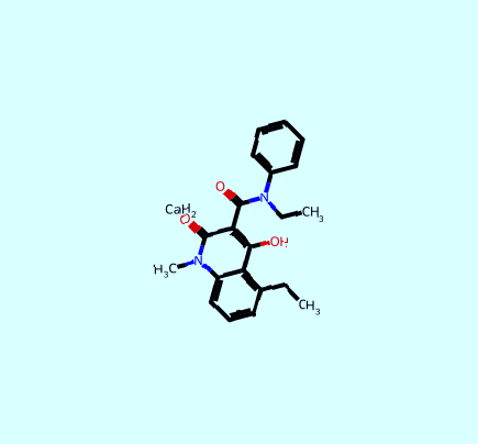 CCc1cccc2c1c(O)c(C(=O)N(CC)c1ccccc1)c(=O)n2C.[CaH2]